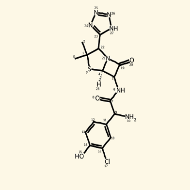 CC1(C)S[C@@H]2C(NC(=O)C(N)c3ccc(O)c(Cl)c3)C(=O)N2C1c1nnn[nH]1